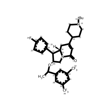 CC(O[C@H]1CN2C(=O)C=C(C3CCN(C(C)(C)C)CC3)C[C@H]2C1c1ccc(F)cc1)c1cc(C(F)(F)F)cc(C(F)(F)F)c1